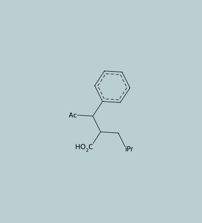 CC(=O)C(c1ccccc1)C(CC(C)C)C(=O)O